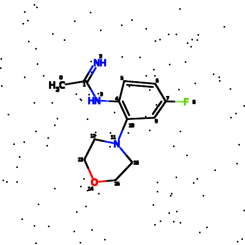 CC(=N)Nc1ccc(F)cc1N1CCOCC1